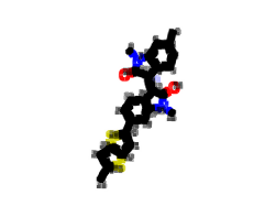 Cc1ccc2c(c1)N(C)C(=O)/C2=C1/C(=O)N(C)c2cc(-c3cc4sc(C)cc4s3)ccc21